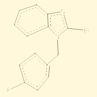 Fc1ccc(Cn2c(Br)nc3ccccc32)cc1